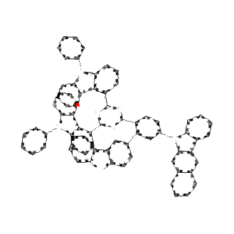 c1ccc(-n2c3ccccc3c3c(-c4nc(-c5ccc(-n6c7ccccc7c7cc8ccccc8cc76)cc5-c5ccc6oc7ccccc7c6c5)nc(-c5cccc6c5c5ccccc5n6-c5ccccc5)n4)cccc32)cc1